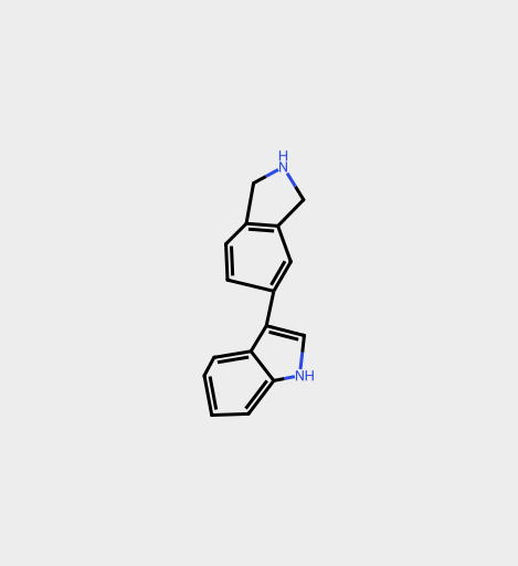 c1ccc2c(-c3ccc4c(c3)CNC4)c[nH]c2c1